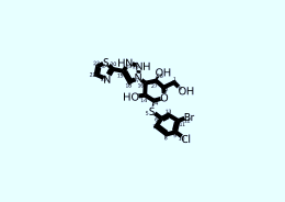 OCC1O[C@H](Sc2ccc(Cl)c(Br)c2)C(O)C(N2C=C(c3nccs3)NN2)[C@H]1O